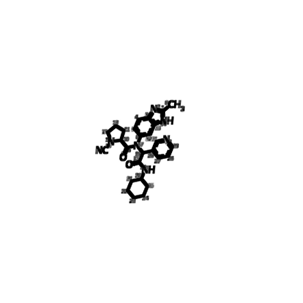 Cc1nc2ccc(N(C(=O)C3CCCN3C#N)C(C(=O)NC3CCCCC3)c3cccnc3)cc2[nH]1